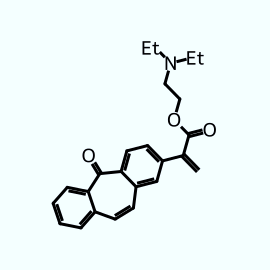 C=C(C(=O)OCCN(CC)CC)c1ccc2c(=O)c3ccccc3ccc2c1